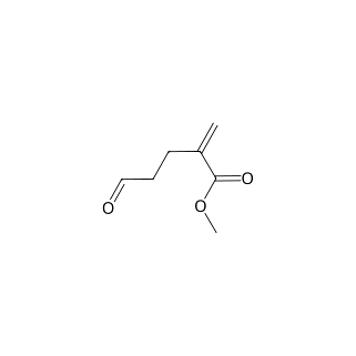 C=C(CCC=O)C(=O)OC